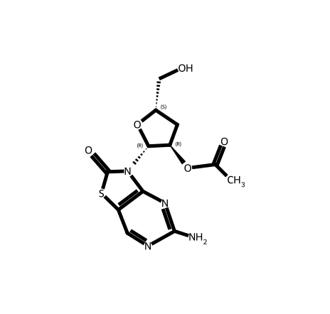 CC(=O)O[C@@H]1C[C@@H](CO)O[C@H]1n1c(=O)sc2cnc(N)nc21